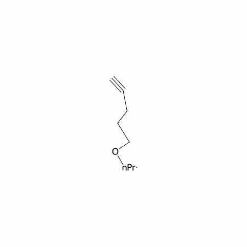 C#CCCCO[CH]CC